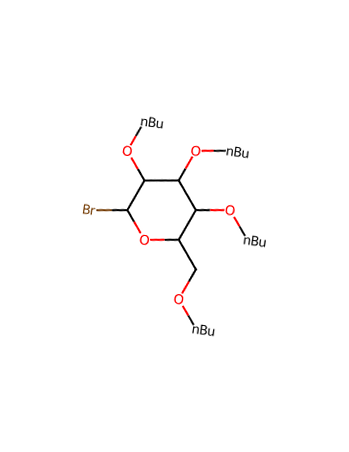 CCCCOCC1OC(Br)C(OCCCC)C(OCCCC)C1OCCCC